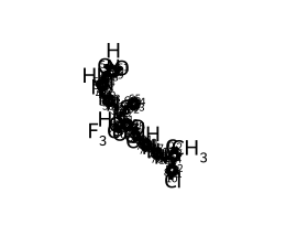 CC1(C)CCC(c2ccc(Cl)cc2)=C(CN2CCN(c3ccc(C(=O)NS(=O)(=O)c4ccc(N[C@H](CCN5CCN(Cc6cnc(NC7CCC(=O)NC7=O)cn6)CC5)CSc5ccccc5)c(S(=O)(=O)C(F)(F)F)c4)cc3)CC2)C1